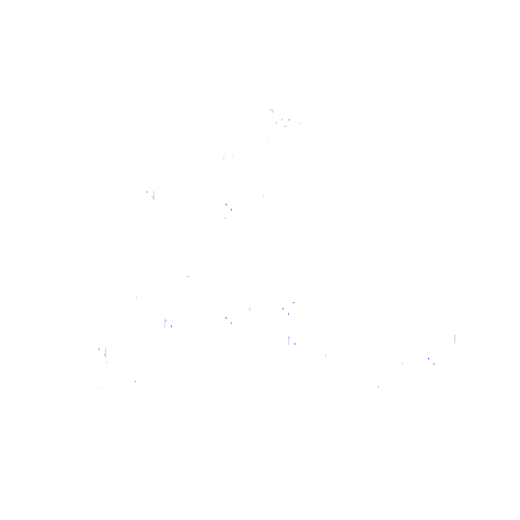 CN(C)c1ccc(N=Nc2nc(N3CC[N+](C)(C)CC3)c(C=C(C#N)C#N)s2)cc1.COS(=O)(=O)[O-]